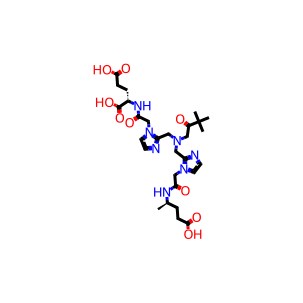 C[C@H](CCC(=O)O)NC(=O)Cn1ccnc1CN(CC(=O)C(C)(C)C)Cc1nccn1CC(=O)N[C@@H](CCC(=O)O)C(=O)O